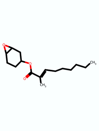 CCCCCCC=C(C)C(=O)OC1CCC2OC2C1